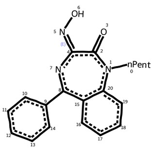 CCCCCn1c(=O)/c(=N\O)nc(-c2ccccc2)c2ccccc21